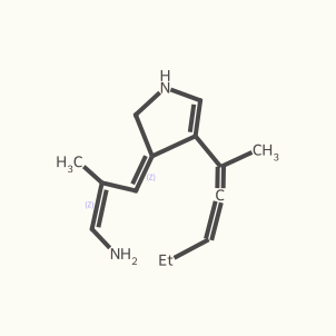 CCC=C=C(C)C1=CNC/C1=C\C(C)=C/N